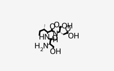 CC[C@H](C)[C@H](NC(=O)[C@@H](N)CO)C(=O)N[C@@H](CC(=O)O)C(=O)O